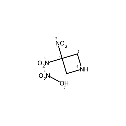 O=[N+]([O-])C1([N+](=O)[O-])CNC1.O=[N+]([O-])O